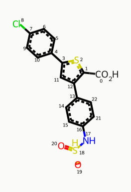 O=C(O)c1sc(-c2ccc(Cl)cc2)cc1-c1ccc(N[SH](=O)=O)cc1